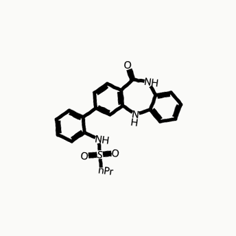 CCCS(=O)(=O)Nc1ccccc1-c1ccc2c(c1)Nc1ccccc1NC2=O